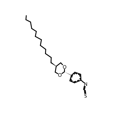 CCCCCCCCCCCC[C@H]1CO[C@H](c2ccc(N=C=S)cc2)OC1